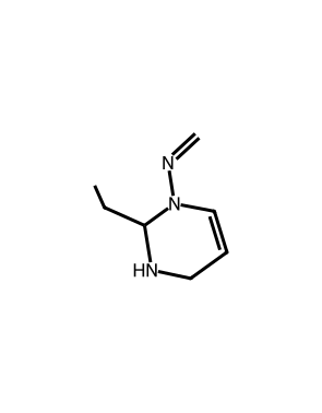 C=NN1C=CCNC1CC